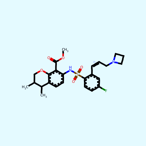 COC(=O)c1c(NS(=O)(=O)c2ccc(F)cc2/C=C\CN2CCC2)ccc2c1OCC(C)C2C